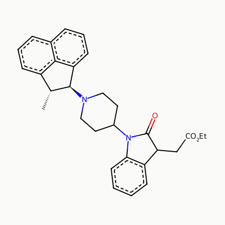 CCOC(=O)CC1C(=O)N(C2CCN([C@@H]3c4cccc5cccc(c45)[C@H]3C)CC2)c2ccccc21